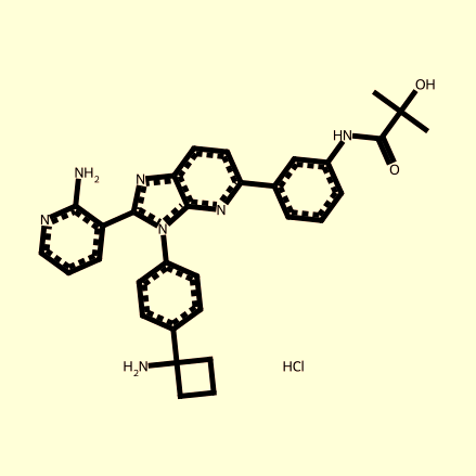 CC(C)(O)C(=O)Nc1cccc(-c2ccc3nc(-c4cccnc4N)n(-c4ccc(C5(N)CCC5)cc4)c3n2)c1.Cl